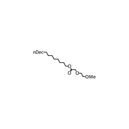 CCCCCCCCCCCCCCCCCCOC(=O)COCCOC